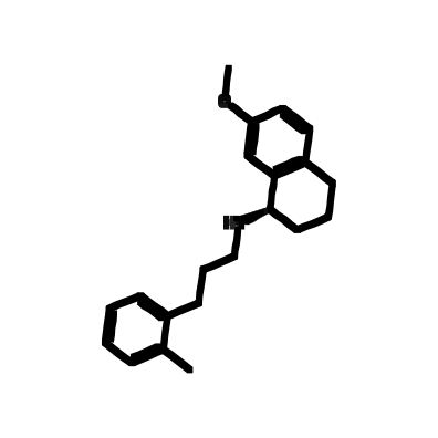 COc1ccc2c(c1)[C@H](NCCCc1ccccc1C)CCC2